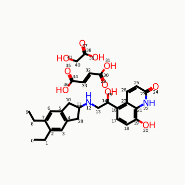 CCc1cc2c(cc1CC)CC(NCC(O)c1ccc(O)c3[nH]c(=O)ccc13)C2.O=C(O)C=CC(=O)O.O=C(O)CO